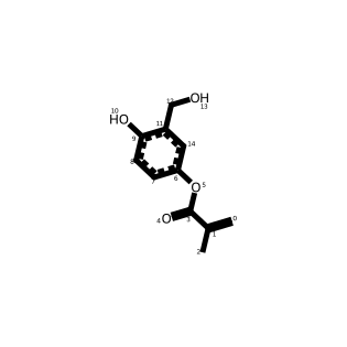 C=C(C)C(=O)Oc1ccc(O)c(CO)c1